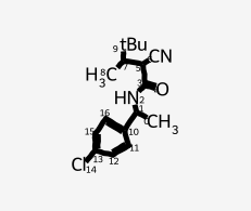 CC(NC(=O)C(C#N)C(C)C(C)(C)C)c1ccc(Cl)cc1